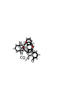 O=C(O)Cn1c(-c2nc3ccccc3n([C@H]3C[C@H]4CCC[C@@H](C3)N4C3CCCCCCCCC3)c2=O)cccc1=O